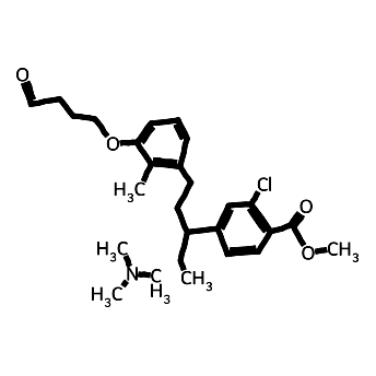 CCC(CCc1cccc(OCCCC=O)c1C)c1ccc(C(=O)OC)c(Cl)c1.CN(C)C